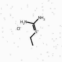 CC[S+]=C(N)N.[Cl-]